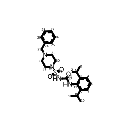 CC(C)c1cccc(C(C)C)c1NC(=O)NS(=O)(=O)N1CCN(Cc2ccccc2)CC1